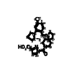 C[C@@H]1CCCN1c1cc(C(F)(F)F)ccc1CN1CCCC12CCN(C(=O)n1ccc(C(=O)O)n1)CC2